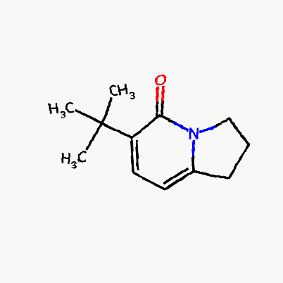 CC(C)(C)c1ccc2n(c1=O)CCC2